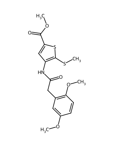 COC(=O)c1cc(NC(=O)Cc2cc(OC)ccc2OC)c(SC)s1